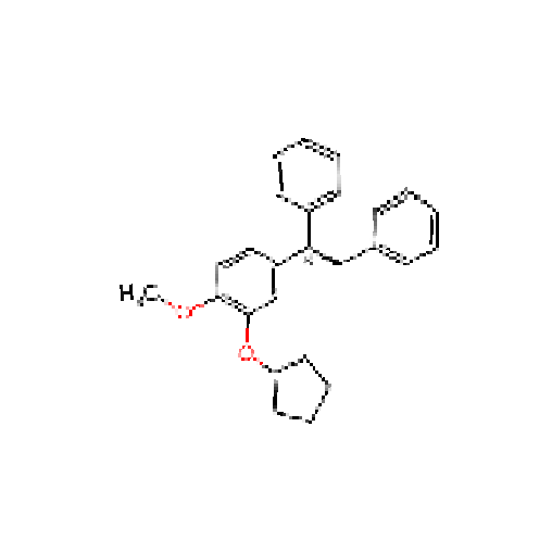 COc1ccc([C@H](Cc2ccccc2)c2ccccc2)cc1OC1CCCC1